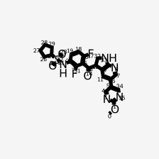 COc1ncc(-c2cnc3c(c2)C(C(=O)c2c(F)ccc(NS(=O)(=O)C4CCCC4)c2F)CN3)cn1